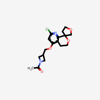 CC(=O)N1CC(COc2cc(Cl)nc3c2CCOC32CCOC2)C1